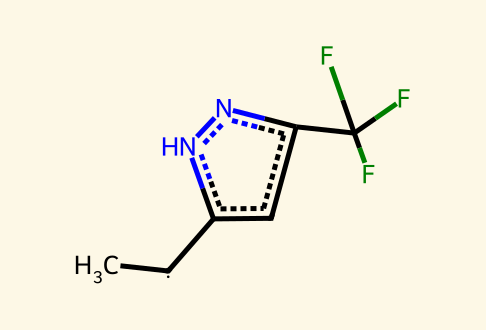 C[CH]c1cc(C(F)(F)F)n[nH]1